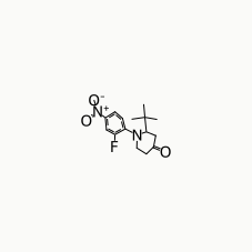 CC(C)(C)C1CC(=O)CCN1c1ccc([N+](=O)[O-])cc1F